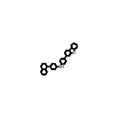 c1ccc2c(-c3ccc(Nc4ccc(-c5ccc6c(c5)oc5ccccc56)cc4)cc3)cccc2c1